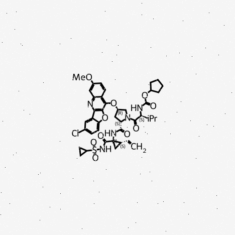 C=C[C@@H]1C[C@]1(NC(=O)[C@@H]1C[C@@H](Oc2c3ccc(OC)cc3nc3c2oc2ccc(Cl)cc23)CN1C(=O)[C@@H](NC(=O)OC1CCCC1)C(C)C)C(=O)NS(=O)(=O)C1CC1